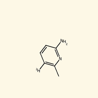 [2H]c1ccc(N)nc1C